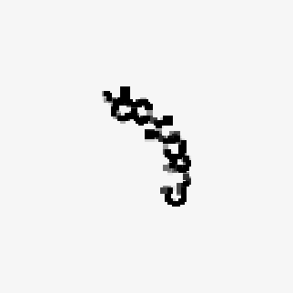 C[C@H]1CCCN1Cc1cc2cnc(NC(=O)c3ccc4[nH]c(=O)ccc4c3)cc2[nH]1